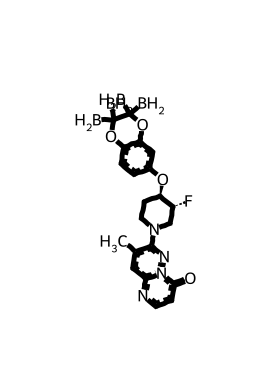 BC1(B)Oc2ccc(O[C@@H]3CCN(c4nn5c(=O)ccnc5cc4C)C[C@H]3F)cc2OC1(B)B